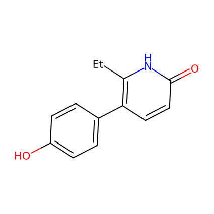 CCc1[nH]c(=O)ccc1-c1ccc(O)cc1